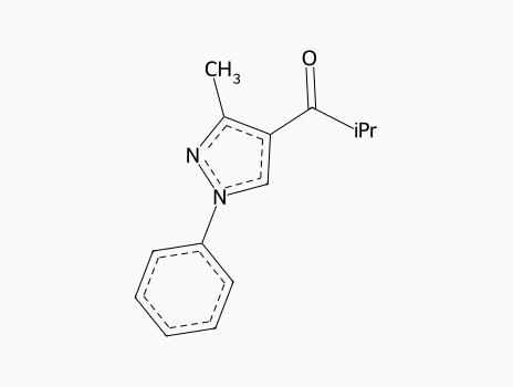 Cc1nn(-c2ccccc2)cc1C(=O)C(C)C